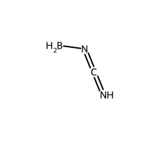 BN=C=N